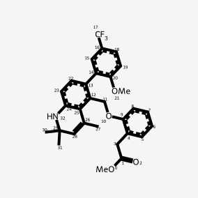 COC(=O)Cc1ccccc1OCc1c(-c2cc(C(F)(F)F)ccc2OC)ccc2c1C(C)=CC(C)(C)N2